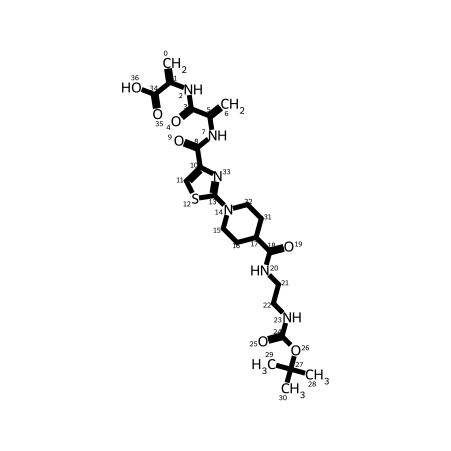 C=C(NC(=O)C(=C)NC(=O)c1csc(N2CCC(C(=O)NCCNC(=O)OC(C)(C)C)CC2)n1)C(=O)O